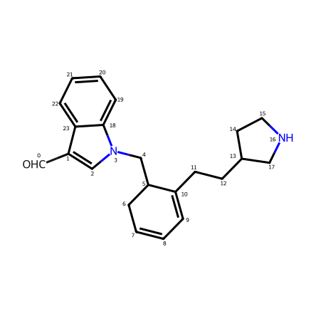 O=Cc1cn(CC2CC=CC=C2CCC2CCNC2)c2ccccc12